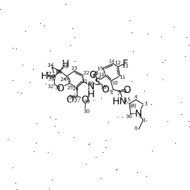 CCN1CC[C@@H](NC(=O)Cc2cc(F)ccc2S(=O)(=O)Nc2ccc3c(c2C(=O)OC)OC[C@@H]2C[C@H]32)C1